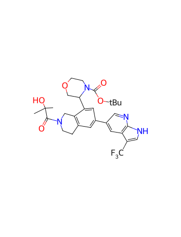 CC(C)(C)OC(=O)N1CCOCC1c1cc(-c2cnc3[nH]cc(C(F)(F)F)c3c2)cc2c1CN(C(=O)C(C)(C)O)CC2